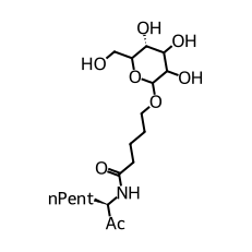 CCCCC[C@@H](NC(=O)CCCCOC1OC(CO)[C@H](O)C(O)C1O)C(C)=O